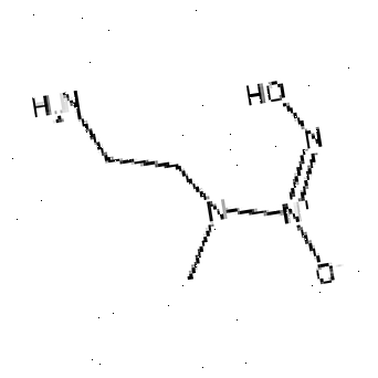 CN(CCN)/[N+]([O-])=N\O